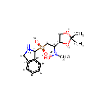 CC1(C)OC[C@H](C(CS(=O)(=O)C2NCc3ccccc32)N(O)C=O)O1